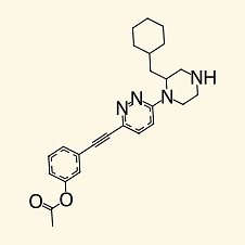 CC(=O)Oc1cccc(C#Cc2ccc(N3CCNCC3CC3CCCCC3)nn2)c1